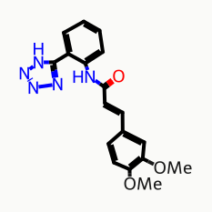 COc1ccc(/C=C/C(=O)Nc2ccccc2-c2nnn[nH]2)cc1OC